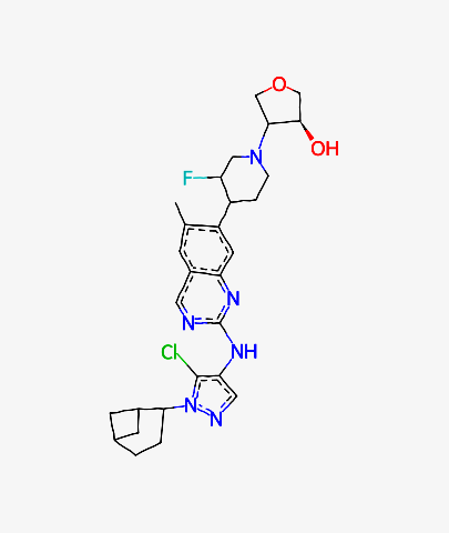 Cc1cc2cnc(Nc3cnn(C4CCC5CC4C5)c3Cl)nc2cc1C1CCN(C2COC[C@H]2O)CC1F